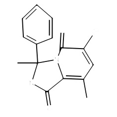 Cc1cc(Br)c(=O)n2c1C(=O)NC2(C)c1ccccc1